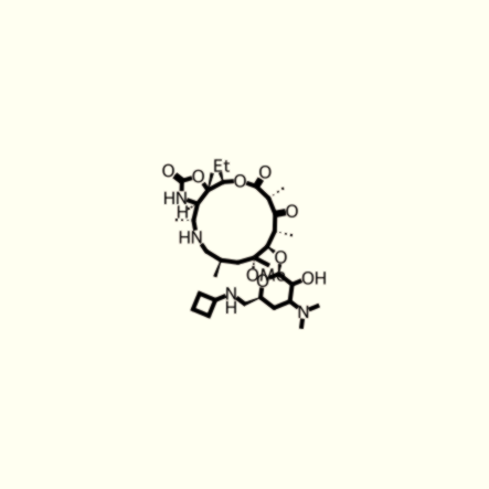 CC[C@H]1OC(=O)[C@H](C)C(=O)[C@H](C)[C@@H](O[C@@H]2O[C@H](CNC3CCC3)CC(N(C)C)C2O)[C@](C)(OC)C[C@@H](C)CN[C@H](C)[C@H]2NC(=O)O[C@@]21C